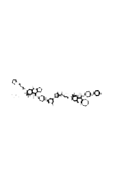 COc1cc2c(NC3CCN(c4cncc(C5CCN(CCCOc6cc7nc8c(c(NC9CCN(c%10ccncc%10)CC9)c7cc6OC)CCCCC8)C5)c4)CC3)c3c(nc2cc1OCCCN1CCCC1)CCC3